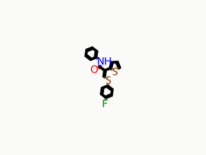 O=C(Nc1ccccc1)/C(=C/Sc1ccc(F)cc1)c1cccs1